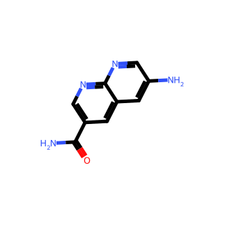 NC(=O)c1cnc2ncc(N)cc2c1